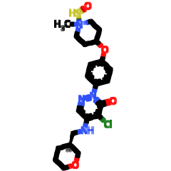 C[N+]1([SH]=O)CCC(Oc2ccc(-n3ncc(NC[C@@H]4CCCOC4)c(Cl)c3=O)cc2)CC1